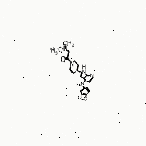 CN(C)CC(=O)N1CC=C(c2cc3c(Nc4ccc5c(c4)OCO5)ccnc3[nH]2)CC1